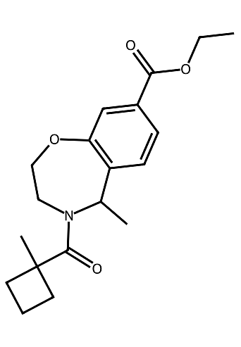 CCOC(=O)c1ccc2c(c1)OCCN(C(=O)C1(C)CCC1)C2C